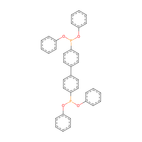 c1ccc(OP(Oc2ccccc2)c2ccc(-c3ccc(P(Oc4ccccc4)Oc4ccccc4)cc3)cc2)cc1